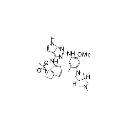 COc1cc(N2C[C@H]3CN(C)C[C@H]3C2)c(C)cc1Nc1nc(Nc2cccc3c2N(S(C)(=O)=O)CC3)c2cc[nH]c2n1